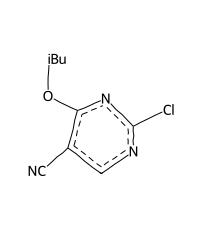 CCC(C)Oc1nc(Cl)ncc1C#N